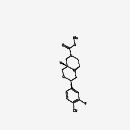 CC(C)(C)OC(=O)N1CCN2C[C@@H](c3ccc(C#N)c(F)c3)OC[C@@H]2C1